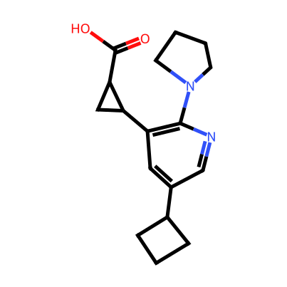 O=C(O)C1CC1c1cc(C2CCC2)cnc1N1CCCC1